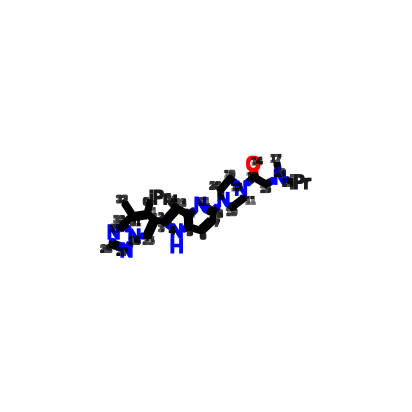 Cc1c(-c2[nH]c3ccc(N4CCN(C(=O)CN(C)C(C)C)CC4)nc3c2C(C)C)cn2ncnc2c1C